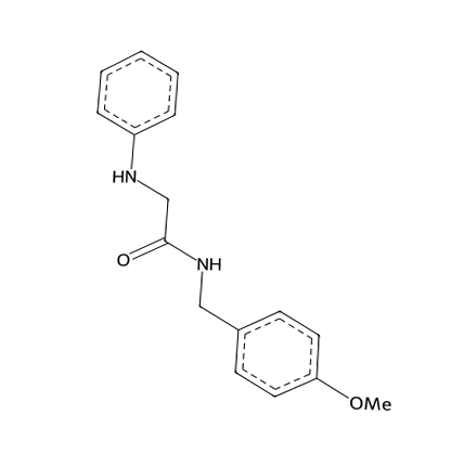 COc1ccc(CNC(=O)CNc2ccccc2)cc1